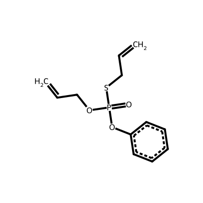 C=CCOP(=O)(Oc1ccccc1)SCC=C